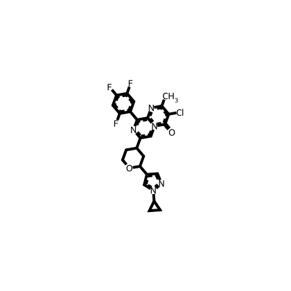 Cc1nc2c(-c3cc(F)c(F)cc3F)nc(C3CCOC(c4cnn(C5CC5)c4)C3)cn2c(=O)c1Cl